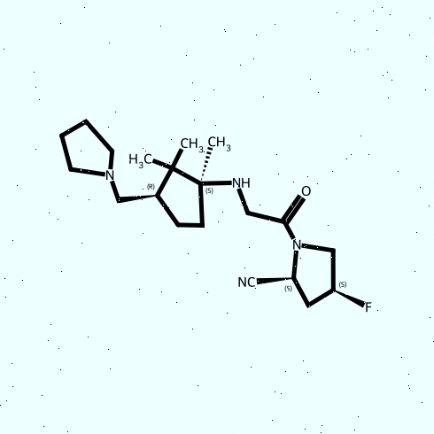 CC1(C)[C@H](CN2CCCC2)CC[C@]1(C)NCC(=O)N1C[C@@H](F)C[C@H]1C#N